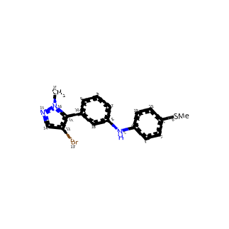 CSc1ccc(Nc2cccc(-c3c(Br)cnn3C)c2)cc1